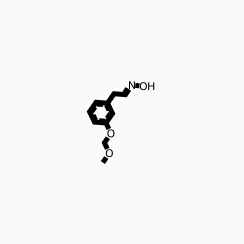 COCOc1cccc(CC=NO)c1